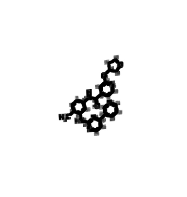 Cc1ccc(NC(=O)c2ccnc(OC3CCOC3)c2)cc1Nc1nccc(-c2cccnc2)n1